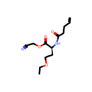 C=CCCC(=O)N[C@@H](CCOCC)C(=O)OCC#N